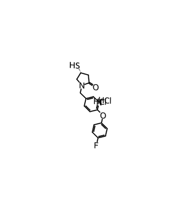 Cl.Cl.O=C1C[C@@H](S)CN1Cc1ccc(Oc2ccc(F)cc2)nc1